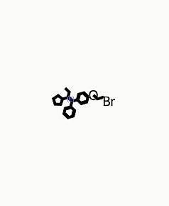 CC/C(=C(/c1ccccc1)c1ccc(OCCBr)cc1)C1CCCC1